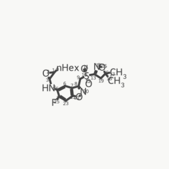 CCCCCCC1OC1Nc1cc2c(CS(=O)(=O)C3=NOC(C)(C)C3)noc2cc1F